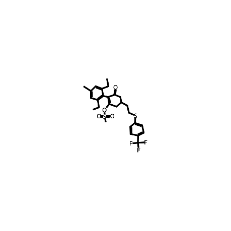 CCc1cc(C)cc(CC)c1C1=C(OS(C)(=O)=O)CC(CCSc2ccc(C(F)(F)F)cc2)CC1=O